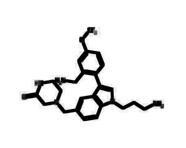 NCCCn1cc(-c2ccc(OC(F)(F)F)cc2CN)c2cc(CN3CCNC(=O)C3)ccc21